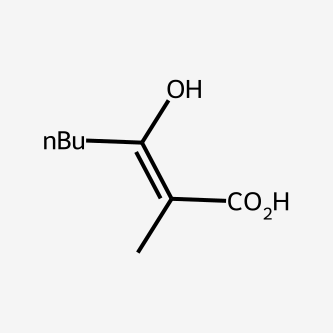 CCCCC(O)=C(C)C(=O)O